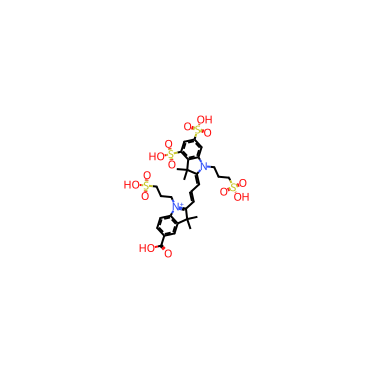 CC1(C)C(/C=C/C=C2/N(CCCS(=O)(=O)O)c3cc(S(=O)(=O)O)cc(S(=O)(=O)O)c3C2(C)C)=[N+](CCCS(=O)(=O)O)c2ccc(C(=O)O)cc21